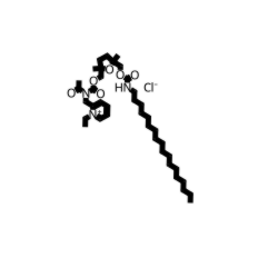 CCCCCCCCCCCCCCCCCCNC(=O)OCC1(C)CCC(C)(COC(=O)N(Cc2cccc[n+]2CC)C(C)=O)O1.[Cl-]